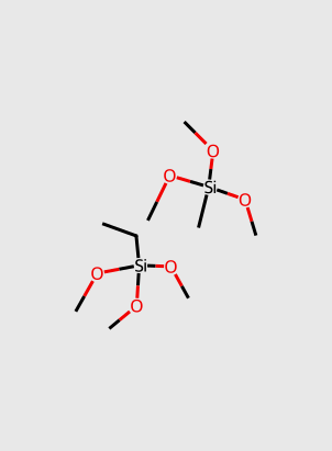 CC[Si](OC)(OC)OC.CO[Si](C)(OC)OC